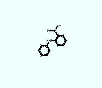 CC(C)P(c1ccccc1Nc1ccccc1)C(C)C